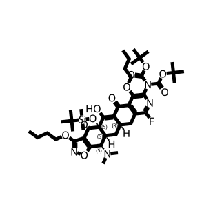 CCCCOc1noc2c1C(=O)[C@@]1(O[Si](C)(C)C(C)(C)C)C(O)=C3C(=O)c4c(c(F)nc(N(C(=O)OC(C)(C)C)C(=O)OC(C)(C)C)c4OCCCC)C[C@H]3C[C@H]1[C@@H]2N(C)C